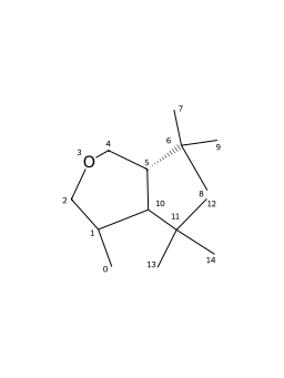 CC1COC[C@H](C(C)(C)C)C1C(C)(C)C